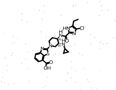 CCc1[nH]c(C(=O)N[C@@H]2CCN(c3nc4cccc(C(=O)O)c4s3)C[C@H]2NC2CC2)nc1Cl